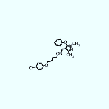 Cc1nn(C)c(Oc2ccccc2)c1C=NOCC=CCOc1ccc(Cl)cc1